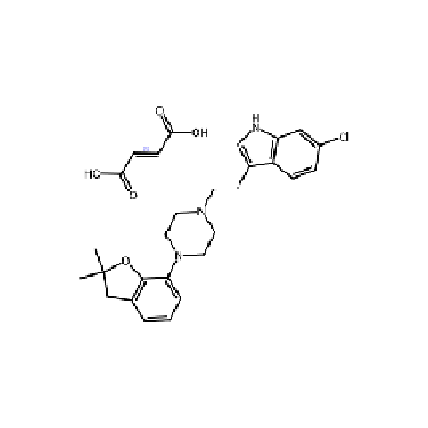 CC1(C)Cc2cccc(N3CCN(CCc4c[nH]c5cc(Cl)ccc45)CC3)c2O1.O=C(O)/C=C/C(=O)O